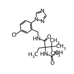 CCC(NC(=O)O)(C(=O)NCc1cc(Cl)ccc1-n1cncn1)C(C)(C)C